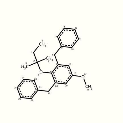 CCC(C)(C)Oc1c(Cc2ccccc2)cc(OC)cc1Cc1ccccc1